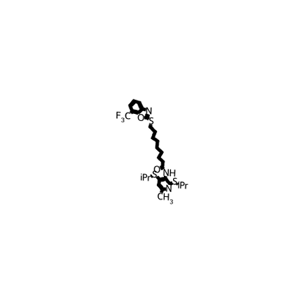 Cc1cc(SC(C)C)c(NC(=O)CCCCCCCCSc2nc3cccc(C(F)(F)F)c3o2)c(SC(C)C)n1